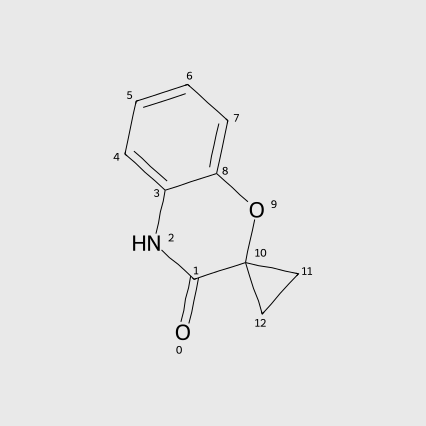 O=C1Nc2ccccc2OC12CC2